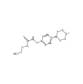 N#CCCSC(=S)NCc1cnc(N2CCOCC2)nc1